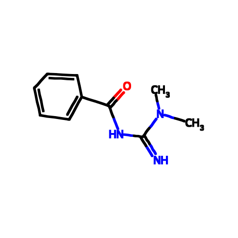 CN(C)C(=N)NC(=O)c1ccccc1